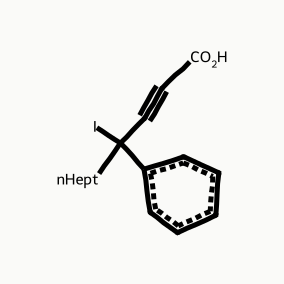 CCCCCCCC(I)(C#CC(=O)O)c1ccccc1